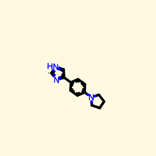 [c]1nc(-c2ccc(N3CCCC3)cc2)c[nH]1